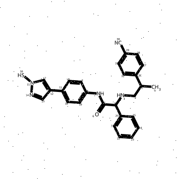 CC(CNC(C(=O)Nc1ccc(-c2cnn(S)c2)cc1)c1ccccc1)c1ccc(C#N)cc1